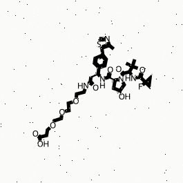 Cc1ncsc1-c1ccc([C@H](CC(=O)NCCOCCOCCOCCC(=O)O)NC(=O)[C@@H]2C[C@@H](O)CN2C(=O)C(NC(=O)C2(F)CC2)C(C)(C)C)cc1